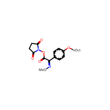 CCCCCCCCOc1ccc(C(=NOC)C(=O)ON2C(=O)CCC2=O)cc1